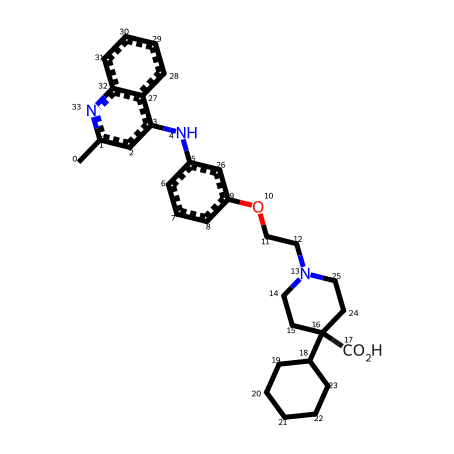 Cc1cc(Nc2cccc(OCCN3CCC(C(=O)O)(C4CCCCC4)CC3)c2)c2ccccc2n1